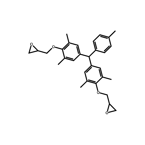 Cc1ccc(C(c2cc(C)c(OCC3CO3)c(C)c2)c2cc(C)c(OCC3CO3)c(C)c2)cc1